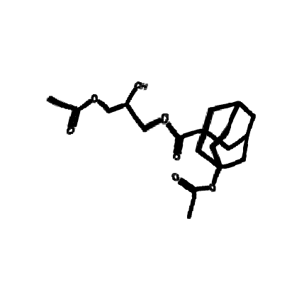 CC(=O)OCC(O)COC(=O)C12CC3CC(CC(OC(C)=O)(C3)C1)C2